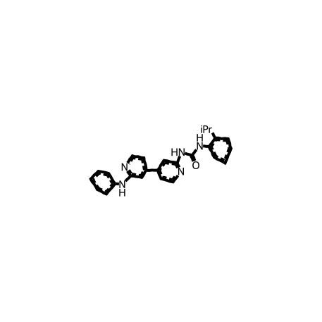 CC(C)c1ccccc1NC(=O)Nc1cc(-c2ccnc(Nc3ccccc3)c2)ccn1